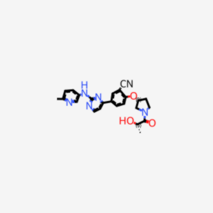 Cc1ccc(Nc2nccc(-c3ccc(O[C@@H]4CCN(C(=O)[C@H](C)O)C4)c(C#N)c3)n2)cn1